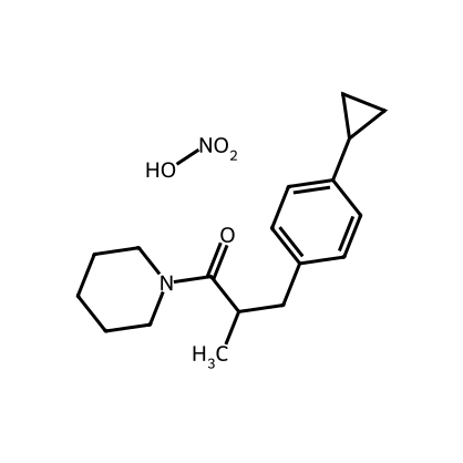 CC(Cc1ccc(C2CC2)cc1)C(=O)N1CCCCC1.O=[N+]([O-])O